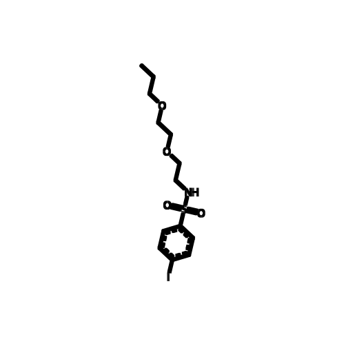 CCCOCCOCCNS(=O)(=O)c1ccc(I)cc1